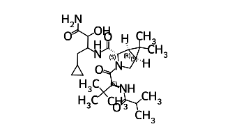 CC(C)C(=O)N[C@H](C(=O)N1C[C@H]2[C@@H]([C@H]1C(=O)NC(CC1CC1)C(O)C(N)=O)C2(C)C)C(C)(C)C